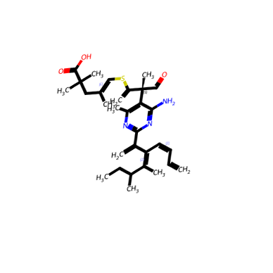 C=C/C=C\C(C(=C)c1nc(C)c([C@@](C)(C=O)C(=C)S/C=C(\C)CC(C)(C)C(=O)O)c(N)n1)=C(/C)C(C)CC